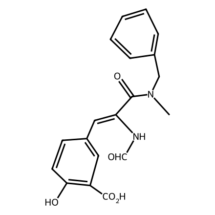 CN(Cc1ccccc1)C(=O)/C(=C/c1ccc(O)c(C(=O)O)c1)NC=O